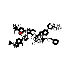 Cc1cc(-n2nc3c(c2N2C=CN(c4ccc5c(cnn5C5CC5)c4F)C2=C=O)[C@H](C)N(C(=O)c2cc4cc([C@H]5CCOC(C)(C)C5)ccc4n2[C@@]2(c4noc(=O)[nH]4)C[C@@H]2COCc2ccccc2)CC3)ccc1C1(F)CC1